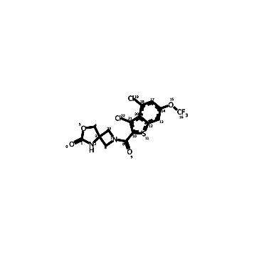 O=C1NC2(CO1)CN(C(=O)c1sc3cc(OC(F)(F)F)cc(Cl)c3c1Cl)C2